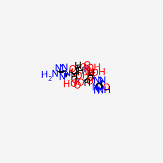 Nc1ncnc2c1ncn2[C@@H]1O[C@@H]2COP(=O)(O)O[C@H]3[C@@H](O)[C@H](n4cnc5c(=O)[nH]nnc54)O[C@@H]3COP(=O)(O)O[C@@H]1[C@@H]2O